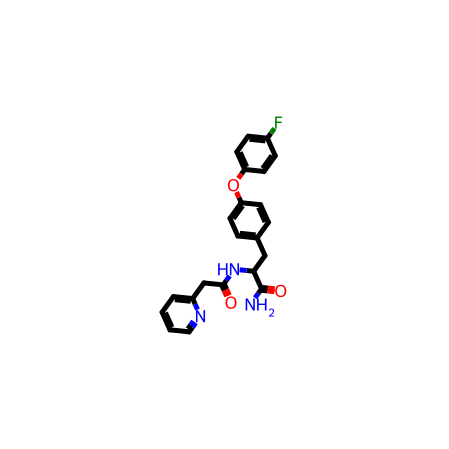 NC(=O)C(Cc1ccc(Oc2ccc(F)cc2)cc1)NC(=O)Cc1ccccn1